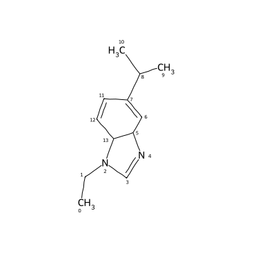 CCN1C=NC2C=C(C(C)C)C=CC21